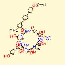 CCCCCOc1ccc(-c2ccc(-c3ccc(C=O)c(O[C@H](C)[C@@H]4NC(=O)CC[C@@H](O)[C@@H](OCC[N+](C)(C)C)NC(=O)[C@@H]5[C@@H](O)[C@@H](C)CN5C(=O)[C@H]([C@@H](C)O)NC(=O)[C@H]([C@H](O)[C@@H](O)c5ccc(O)cc5)NC(=O)[C@@H]5C[C@@H](O)CN5C4=O)c3)cc2)cc1